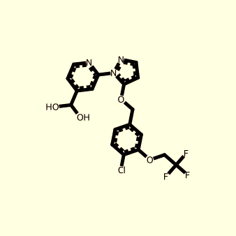 OC(O)c1ccnc(-n2nccc2OCc2ccc(Cl)c(OCC(F)(F)F)c2)c1